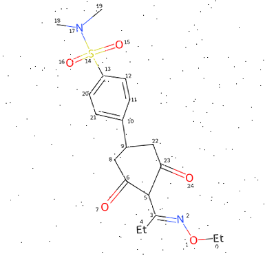 CCON=C(CC)C1C(=O)CC(c2ccc(S(=O)(=O)N(C)C)cc2)CC1=O